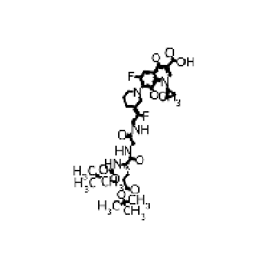 COc1c(N2CCCC(=C(F)CNC(=O)CNC(=O)[C@H](CCC(=O)OC(C)(C)C)NC(=O)OC(C)(C)C)C2)c(F)cc2c(=O)c(C(=O)O)cn(C3CC3)c12